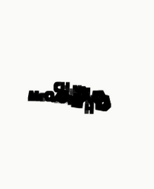 COC[C@@H]1C[C@@H](n2ccc3c(NC4CCc5ccccc54)ncnc32)CC1C